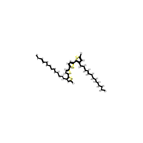 CCCCCCCCCCCCCCc1cc(C)sc1-c1ccc(-c2ccc(-c3sc(C)cc3CCCCCCCCCCCCCC)s2)s1